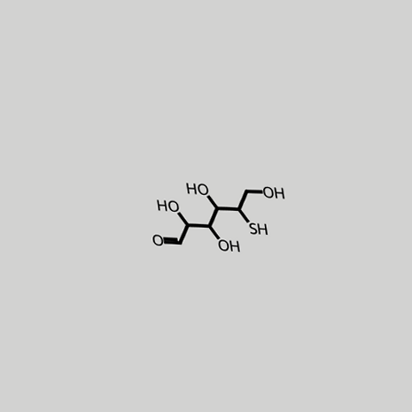 O=CC(O)C(O)C(O)C(S)CO